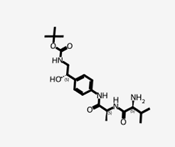 CC(C)[C@H](N)C(=O)N[C@@H](C)C(=O)Nc1ccc([C@H](O)CNC(=O)OC(C)(C)C)cc1